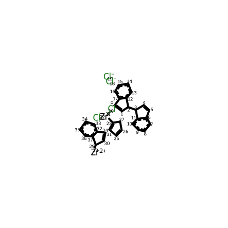 C1=CC(C2C=Cc3ccccc32)c2ccccc21.[Cl-].[Cl-].[Cl][Zr]([Cl])[C]1=CC=CC1.[Zr+2][CH]1C=Cc2ccccc21